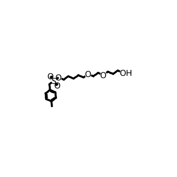 Cc1ccc(CS(=O)(=O)OCCCCCOCCOCCCO)cc1